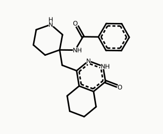 O=C(NC1(Cc2n[nH]c(=O)c3c2CCCC3)CCCNC1)c1ccccc1